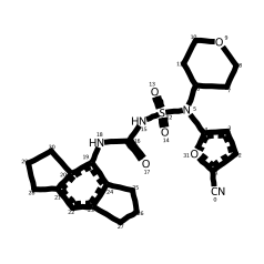 N#Cc1ccc(N(C2CCOCC2)S(=O)(=O)NC(=O)Nc2c3c(cc4c2CCC4)CCC3)o1